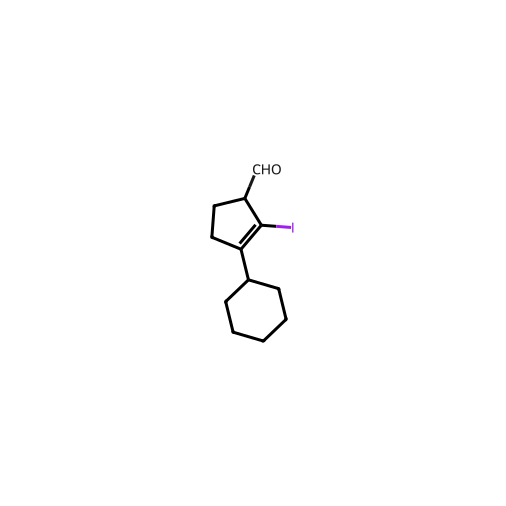 O=CC1CCC(C2CCCCC2)=C1I